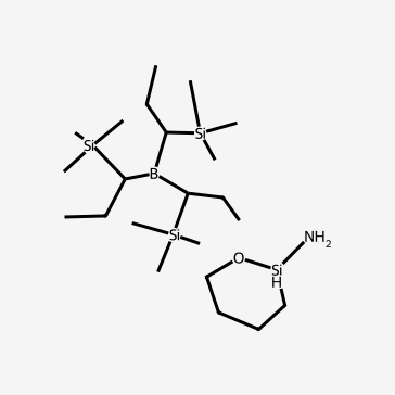 CCC(B(C(CC)[Si](C)(C)C)C(CC)[Si](C)(C)C)[Si](C)(C)C.N[SiH]1CCCCO1